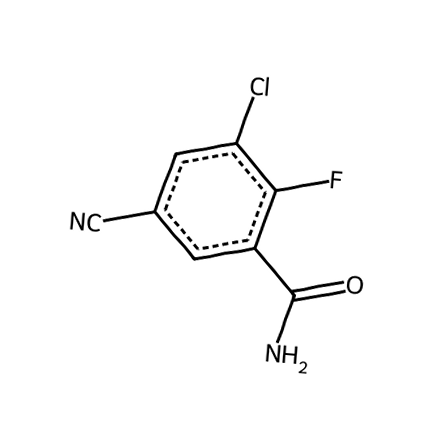 N#Cc1cc(Cl)c(F)c(C(N)=O)c1